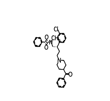 CN(C[C@@H](CCN1CCC(C(=O)c2ccccc2)CC1)c1cccc(Cl)c1)S(=O)(=O)c1ccccc1